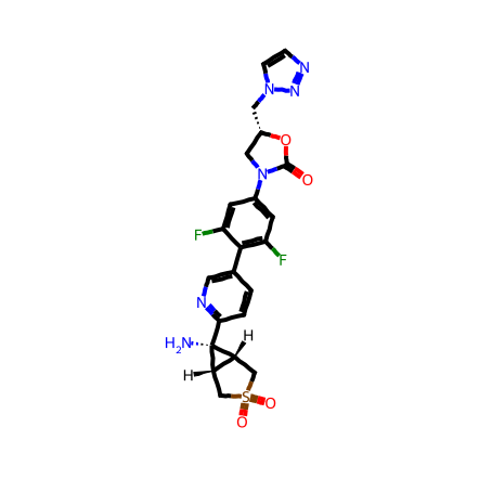 N[C@]1(c2ccc(-c3c(F)cc(N4C[C@H](Cn5ccnn5)OC4=O)cc3F)cn2)[C@@H]2CS(=O)(=O)C[C@@H]21